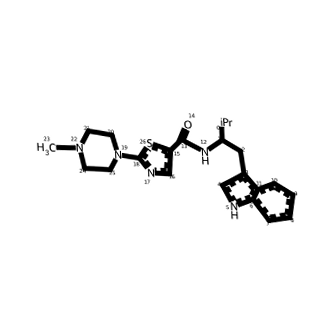 CC(C)C(Cc1c[nH]c2ccccc12)NC(=O)c1cnc(N2CCN(C)CC2)s1